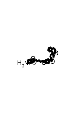 Nc1ccc(S(=O)(=O)CCCCCOc2ccc(C(=O)N3CCC(N4C(=O)CCc5ccccc54)CC3)cc2)cc1